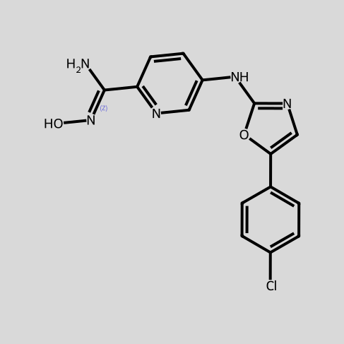 N/C(=N\O)c1ccc(Nc2ncc(-c3ccc(Cl)cc3)o2)cn1